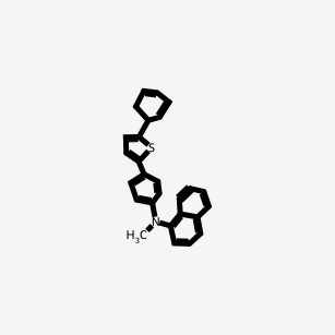 CN(c1ccc(-c2ccc(C3C=CC=CC3)s2)cc1)c1cccc2ccc#cc12